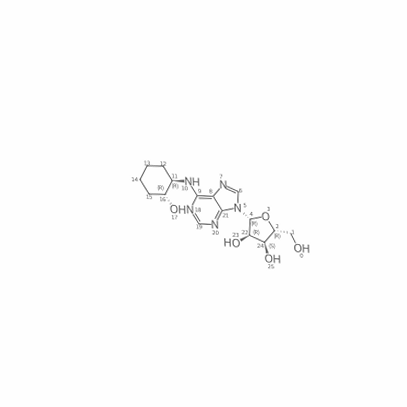 OC[C@H]1O[C@@H](n2cnc3c(N[C@@H]4CCCC[C@H]4O)ncnc32)[C@H](O)[C@@H]1O